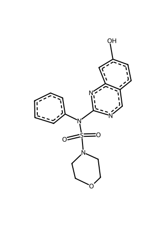 O=S(=O)(N1CCOCC1)N(c1ccccc1)c1ncc2ccc(O)cc2n1